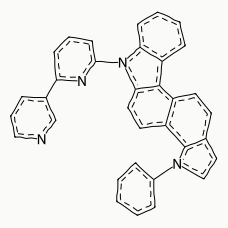 c1ccc(-n2ccc3ccc4c(ccc5c4c4ccccc4n5-c4cccc(-c5cccnc5)n4)c32)cc1